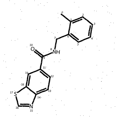 Cc1ccccc1CNC(=O)c1ccc2ncsc2c1